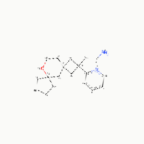 NCCC1(c2ccccn2)CC2(CCOC3(CCCC3)C2)C1